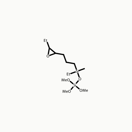 CCC1OC1CCC[Si](C)(CC)O[Si](OC)(OC)OC